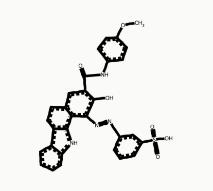 COc1ccc(NC(=O)c2cc3ccc4c5ccccc5[nH]c4c3c(N=Nc3cccc(S(=O)(=O)O)c3)c2O)cc1